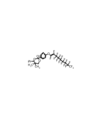 CC(C)C1OC(C)(c2ccc(OC(F)=C(F)C(F)(F)C(F)(F)C(F)(F)C(F)(F)C(F)(F)C(F)(F)C(F)(F)F)cc2)OCC1(C)C